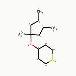 CCCC(C)(CCC)OC1CCSCC1